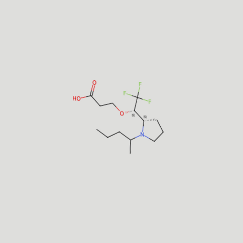 CCCC(C)N1CCC[C@H]1[C@H](OCCC(=O)O)C(F)(F)F